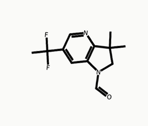 CC(F)(F)c1cnc2c(c1)N(C=O)CC2(C)C